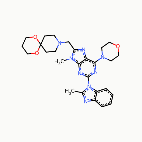 Cc1nc2ccccc2n1-c1nc(N2CCOCC2)c2nc(CN3CCC4(CC3)OCCCO4)n(C)c2n1